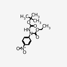 CCOC(=O)N(NC(=O)OC(C)(C)C)c1ccc([N+](=O)[O-])cc1